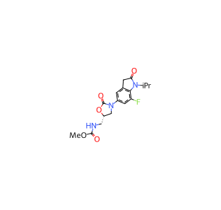 COC(=O)NC[C@H]1CN(c2cc(F)c3c(c2)CC(=O)N3C(C)C)C(=O)O1